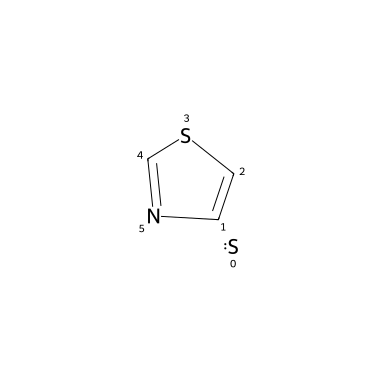 [S].c1cscn1